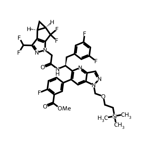 COC(=O)c1cc(-c2cc3c(cnn3COCC[Si](C)(C)C)nc2[C@H](Cc2cc(F)cc(F)c2)NC(=O)Cn2nc(C(F)F)c3c2C(F)(F)[C@@H]2C[C@H]32)ccc1F